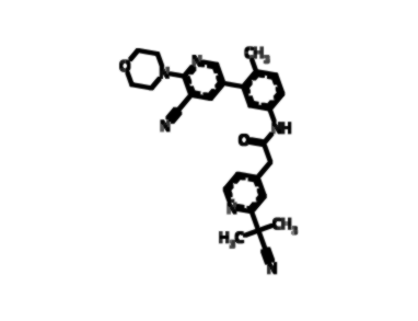 Cc1ccc(NC(=O)Cc2ccnc(C(C)(C)C#N)c2)cc1-c1cnc(N2CCOCC2)c(C#N)c1